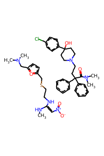 CN(C)C(=O)C(CCN1CCC(O)(c2ccc(Cl)cc2)CC1)(c1ccccc1)c1ccccc1.CN/C(=C/[N+](=O)[O-])NCCSCc1ccc(CN(C)C)o1